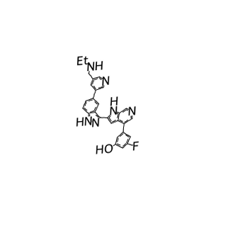 CCNCc1cncc(-c2ccc3[nH]nc(-c4cc5c(-c6cc(O)cc(F)c6)cncc5[nH]4)c3c2)c1